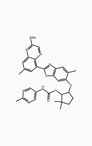 COc1cnc2c(-c3nc4cc(F)c(OC5CCC(C)(C)C5OC(=O)Nc5cnc(C)nc5)cc4s3)cc(C)cc2n1